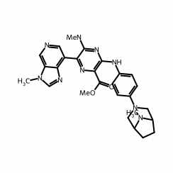 CNc1nc(Nc2ccc(N3CC4CCC(C3)N4C)cc2)c(C(=O)OC)nc1-c1cncc2c1ncn2C